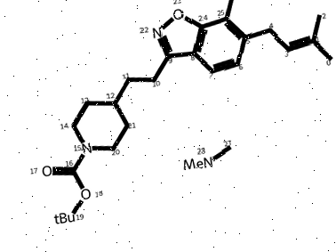 CC(C)=CCc1ccc2c(CCC3CCN(C(=O)OC(C)(C)C)CC3)noc2c1C.CNC